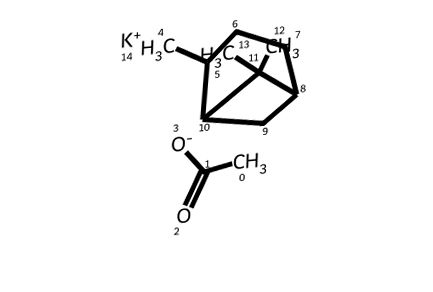 CC(=O)[O-].CC1CCC2CC1C2(C)C.[K+]